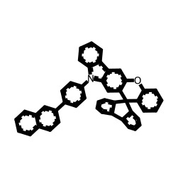 c1ccc2c(c1)Oc1cc3c4ccccc4n(-c4ccc(-c5ccc6ccccc6c5)cc4)c3cc1C21c2ccccc2-c2ccccc21